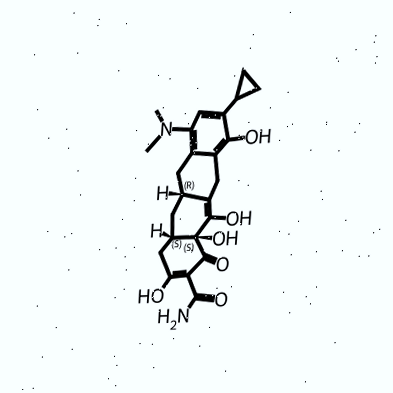 CN(C)c1cc(C2CC2)c(O)c2c1C[C@H]1C[C@H]3CC(O)=C(C(N)=O)C(=O)[C@@]3(O)C(O)=C1C2